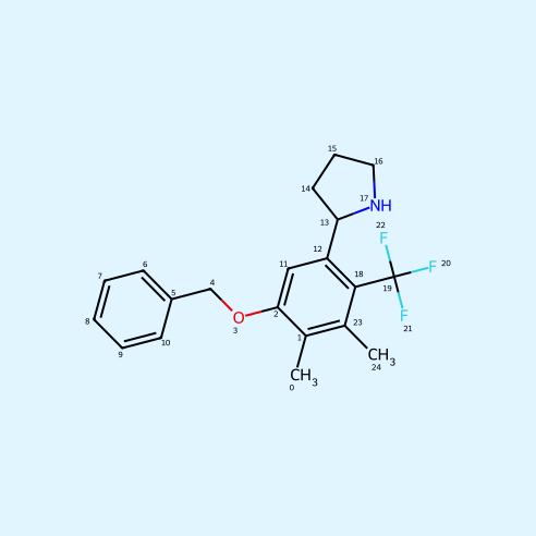 Cc1c(OCc2ccccc2)cc(C2CCCN2)c(C(F)(F)F)c1C